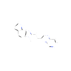 Cn1c(CCc2cnc3ccncc3n2)nc2c3ncccc3ccc21